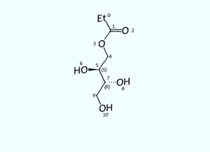 CCC(=O)OC[C@H](O)[C@H](O)CO